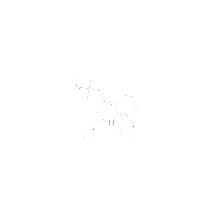 CC(C)(C(O)c1cc(C(F)(F)F)nc2c(C(F)(F)F)cccc12)[N+](=O)[O-]